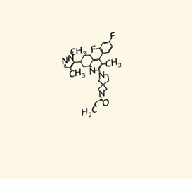 C=CC(=O)N1CC2(CCN(c3nc4c(c(-c5ccc(F)cc5F)c3C)CCC(c3c(C)cnn3C)C4)C2)C1